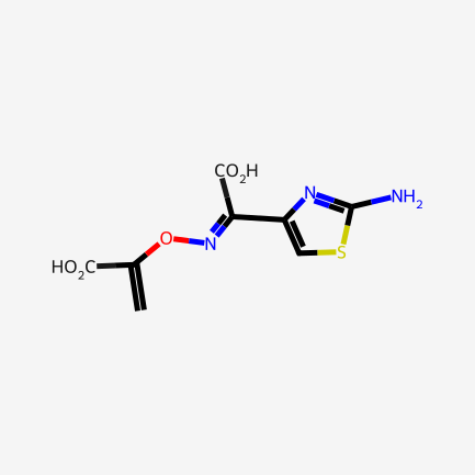 C=C(ON=C(C(=O)O)c1csc(N)n1)C(=O)O